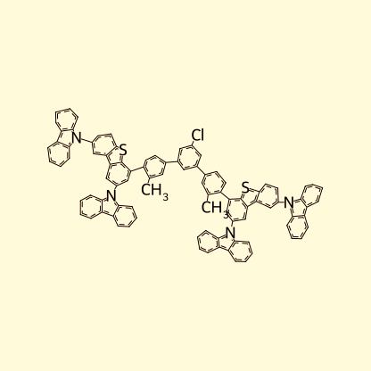 Cc1cc(-c2cc(Cl)cc(-c3ccc(-c4cc(-n5c6ccccc6c6ccccc65)cc5c4sc4ccc(-n6c7ccccc7c7ccccc76)cc45)c(C)c3)c2)ccc1-c1cc(-n2c3ccccc3c3ccccc32)cc2c1sc1ccc(-n3c4ccccc4c4ccccc43)cc12